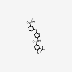 O=C(NO)c1cc(Sc2ccc(N[S+]([O-])c3ccc(Cl)c(C(F)(F)F)c3)cn2)ccn1